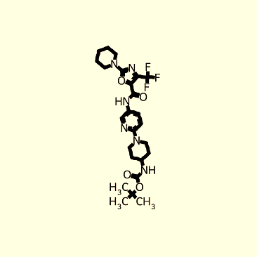 CC(C)(C)OC(=O)NC1CCN(c2ccc(NC(=O)c3oc(N4CCCCC4)nc3C(F)(F)F)cn2)CC1